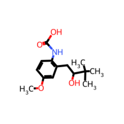 COc1ccc(NC(=O)O)c(CC(O)C(C)(C)C)c1